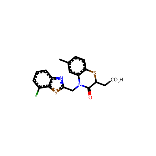 Cc1ccc2c(c1)N(Cc1nc3cccc(F)c3s1)C(=O)C(CC(=O)O)S2